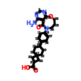 Nc1ncnc2c1C(=O)N(c1ccc(C3CCC4(CC3)CC(C(=O)O)C4)cc1)CCCO2